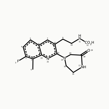 Cc1c(F)ccc2cc(CCNC(=O)O)c(N3CCNC(=O)C3)nc12